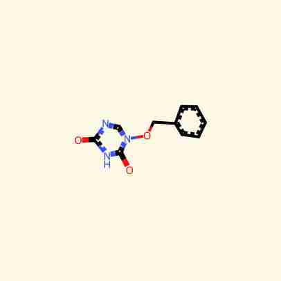 O=c1ncn(OCc2ccccc2)c(=O)[nH]1